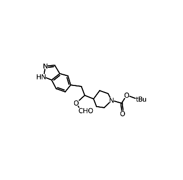 CC(C)(C)OC(=O)N1CCC(C(Cc2ccc3[nH]ncc3c2)OC=O)CC1